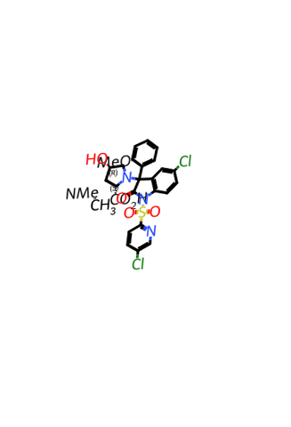 CNC.COc1ccccc1C1(N2C[C@H](O)C[C@H]2C(=O)O)C(=O)N(S(=O)(=O)c2ccc(Cl)cn2)c2ccc(Cl)cc21